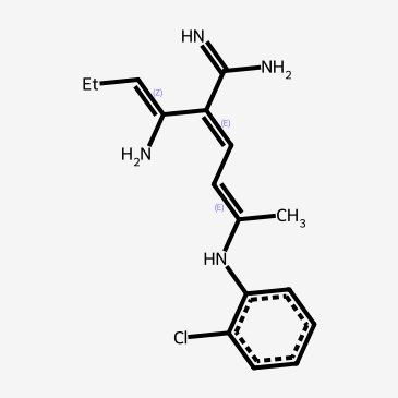 CC/C=C(N)/C(=C\C=C(/C)Nc1ccccc1Cl)C(=N)N